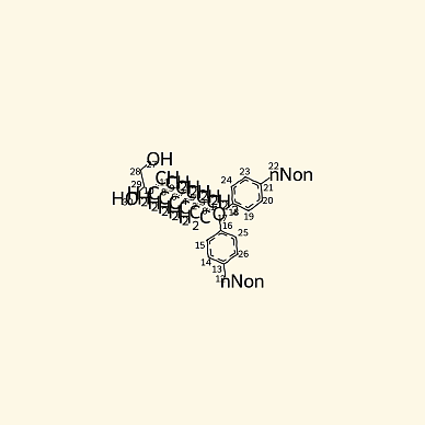 C=C.C=C.C=C.C=C.C=C.C=C.CCCCCCCCCc1ccc(Oc2ccc(CCCCCCCCC)cc2)cc1.OCCO